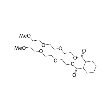 COCCOCCOCCOC(=O)C1CCCCC1C(=O)OCCOCCOCCOC